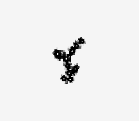 c1ccc(-c2cc(-c3ccc(-c4ccc(-c5cccc6sc7ccccc7c56)c5oc6ccccc6c45)cc3)nc(-c3ccc(-c4cnc(-c5ccccc5)nc4)cc3)n2)cc1